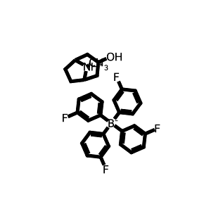 C[NH+]1C2CCC1CC(O)C2.Fc1cccc([B-](c2cccc(F)c2)(c2cccc(F)c2)c2cccc(F)c2)c1